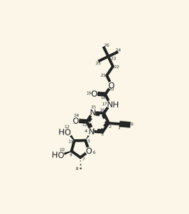 C#Cc1cn([C@@H]2O[C@H](C)[C@@H](O)[C@H]2O)c(=O)nc1NC(=O)OCCC(C)(C)C